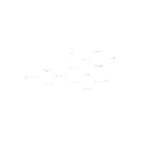 CCC1C(c2ccc(O)cc2)Cc2ccc(O)cc2C1Cc1ccc(F)cc1